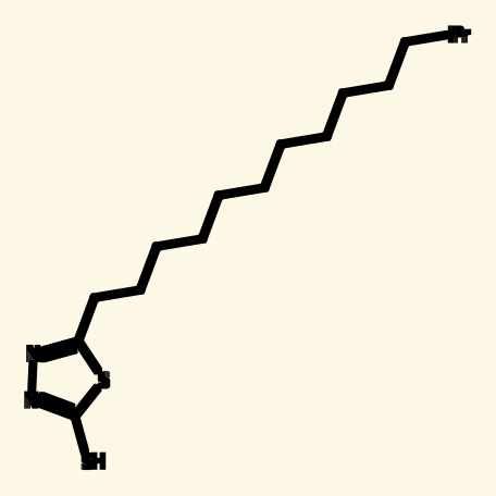 CC(C)CCCCCCCCCCCc1nnc(S)s1